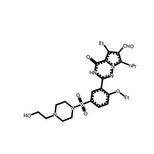 CCCc1c(C=O)c(CC)c2c(=O)[nH]c(-c3cc(S(=O)(=O)N4CCN(CCO)CC4)ccc3OCC)nn12